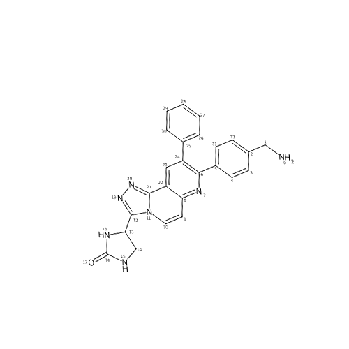 NCc1ccc(-c2nc3ccn4c(C5CNC(=O)N5)nnc4c3cc2-c2ccccc2)cc1